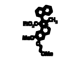 CCOC(=O)c1c(-c2cccc3ccccc23)c(C)n2c1-c1cc(OC)c(OCCOC)cc1CC2